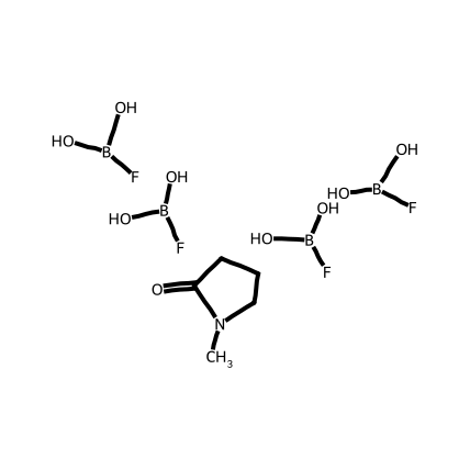 CN1CCCC1=O.OB(O)F.OB(O)F.OB(O)F.OB(O)F